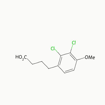 COc1ccc(CCCC(=O)O)c(Cl)c1Cl